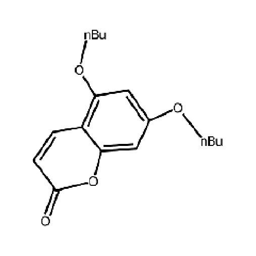 CCCCOc1cc(OCCCC)c2ccc(=O)oc2c1